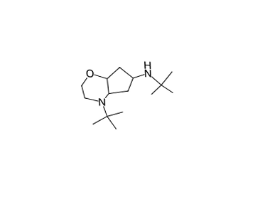 CC(C)(C)NC1CC2OCCN(C(C)(C)C)C2C1